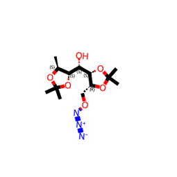 C[C@@H]1OC(C)(C)O[C@H]1[C@H](O)[C@@H]1OC(C)(C)O[C@@H]1CON=[N+]=[N-]